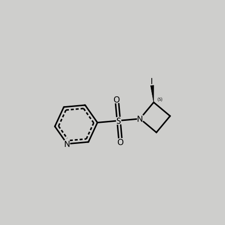 O=S(=O)(c1cccnc1)N1CC[C@@H]1I